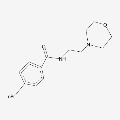 CCCc1ccc(C(=O)NCCN2CCOCC2)cc1